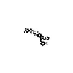 Cn1cc(S(=O)(=O)NCCOc2cc3c(cc2F)CC(CN2CCC2)C3Cc2cccc(Cl)c2)cn1